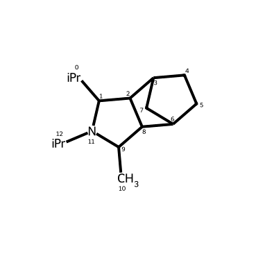 CC(C)C1C2C3CCC(C3)C2C(C)N1C(C)C